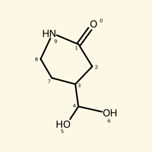 O=C1CC(C(O)O)CCN1